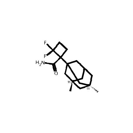 C[C@]12CC3CC(C4(C(N)=O)CCC4(F)F)(C1)C[C@@](C)(C3)C2